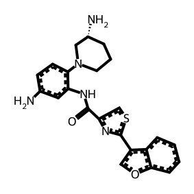 Nc1ccc(N2CCC[C@@H](N)C2)c(NC(=O)c2csc(-c3coc4ccccc34)n2)c1